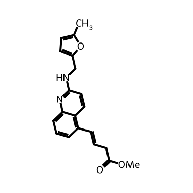 COC(=O)C/C=C/c1cccc2nc(NCc3ccc(C)o3)ccc12